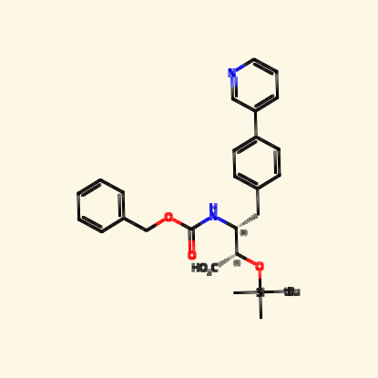 CC(C)(C)[Si](C)(C)O[C@H](C(=O)O)[C@@H](Cc1ccc(-c2cccnc2)cc1)NC(=O)OCc1ccccc1